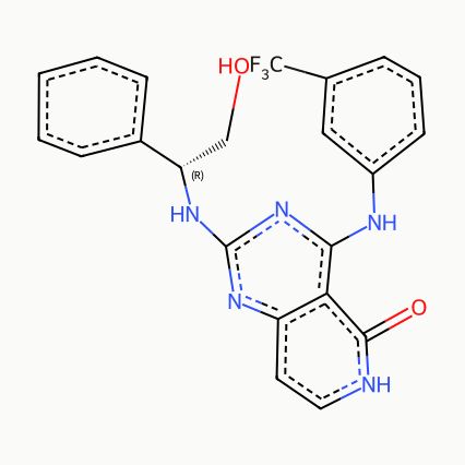 O=c1[nH]ccc2nc(N[C@@H](CO)c3ccccc3)nc(Nc3cccc(C(F)(F)F)c3)c12